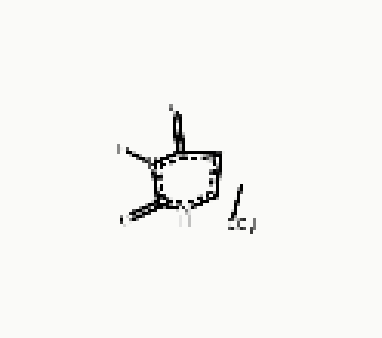 CC(=O)O.O=c1cc[nH]c(=O)n1F